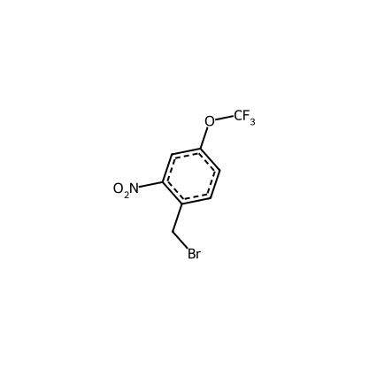 O=[N+]([O-])c1cc(OC(F)(F)F)ccc1CBr